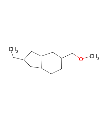 CCC1CC2CCC(COC)CC2C1